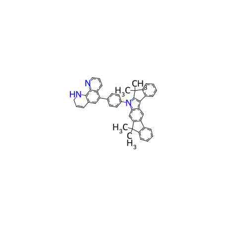 CC1(C)c2ccccc2-c2cc3c4c(n(-c5ccc(-c6cc7c(c8ncccc68)NCC=C7)cc5)c3cc21)C(C)(C)c1ccccc1-4